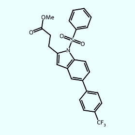 COC(=O)CCc1cc2cc(-c3ccc(C(F)(F)F)cc3)ccc2n1S(=O)(=O)c1ccccc1